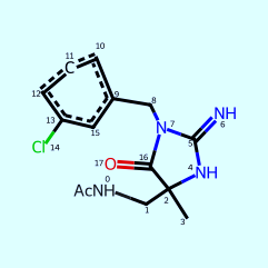 CC(=O)NCC1(C)NC(=N)N(Cc2cccc(Cl)c2)C1=O